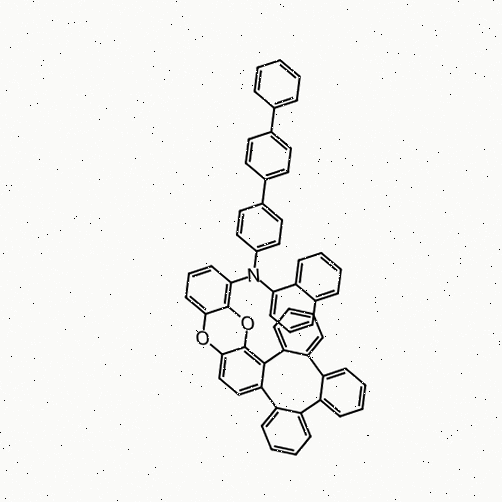 c1ccc(-c2ccc(-c3ccc(N(c4cccc5ccccc45)c4cccc5oc6ccc7c8ccccc8c8ccccc8c8ccccc8c7c6oc45)cc3)cc2)cc1